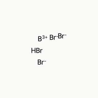 Br.[B+3].[Br-].[Br-].[Br-]